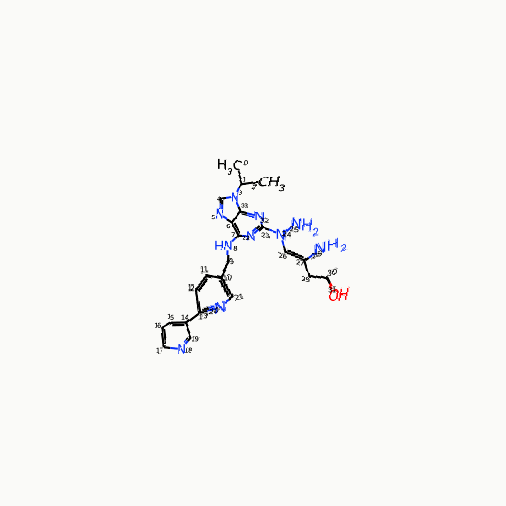 CC(C)n1cnc2c(NCc3ccc(-c4cccnc4)nc3)nc(N(N)/C=C(\N)CCO)nc21